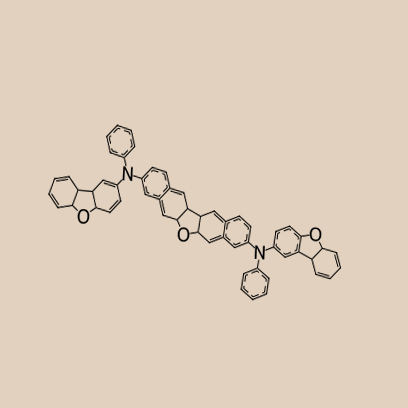 C1=CC2Oc3ccc(N(c4ccccc4)c4ccc5c(c4)=CC4OC6C=c7cc(N(C8=CC9C(C=C8)OC8C=CC=CC89)c8ccccc8)ccc7=CC6C4C=5)cc3C2C=C1